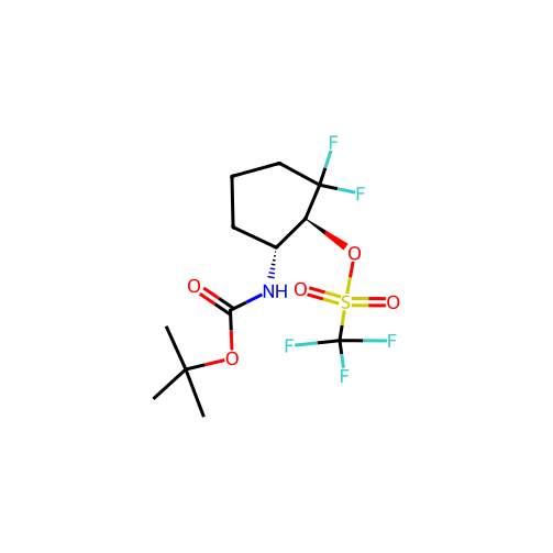 CC(C)(C)OC(=O)N[C@@H]1CCCC(F)(F)[C@H]1OS(=O)(=O)C(F)(F)F